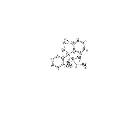 Oc1ccccc1C(Br)(c1ccccc1O)C(Br)(Br)CBr